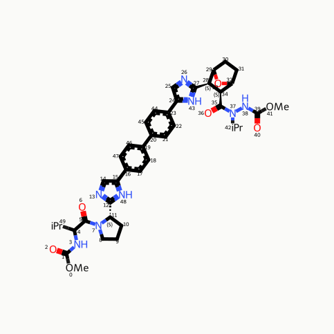 COC(=O)NC(C(=O)N1CCC[C@H]1c1ncc(-c2ccc(-c3ccc(-c4cnc([C@H]5C6CCC(O6)[C@H]5C(=O)N(NC(=O)OC)C(C)C)[nH]4)cc3)cc2)[nH]1)C(C)C